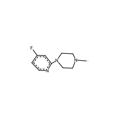 [CH2]N1CCN(c2cc(F)ccn2)CC1